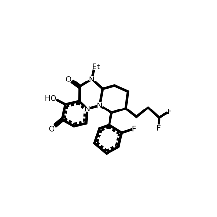 CCN1C(=O)c2c(O)c(=O)ccn2N2C(c3ccccc3F)C(CCC(F)F)CCC12